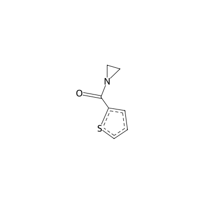 O=C(c1cccs1)N1CC1